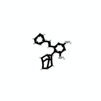 Nc1cc(N)c(C2C3CC4CC(C3)CC2C4)c(C=Cc2ccccc2)c1